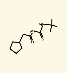 CC(C)(C)NC(=S)NC(=O)CC1CCCC1